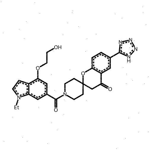 CCn1ccc2c(OCCO)cc(C(=O)N3CCC4(CC3)CC(=O)c3cc(-c5nnn[nH]5)ccc3O4)cc21